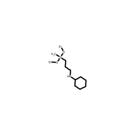 CCO[Si](C)(CCCNC1CCCCC1)OCC